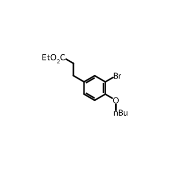 CCCCOc1ccc(CCC(=O)OCC)cc1Br